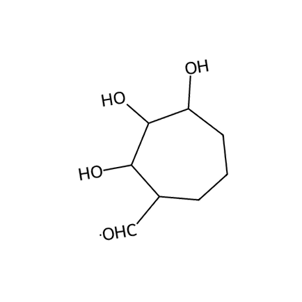 O=[C]C1CCCC(O)C(O)C1O